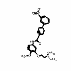 COc1ccc(NC(=O)c2ccc(-c3cccc([N+](=O)[O-])c3)cc2)cc1OCCN(C)C